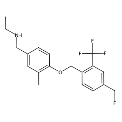 CCNCc1ccc(OCc2ccc(CF)cc2C(F)(F)F)c(C)c1